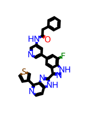 O=C(Cc1ccccc1)Nc1cncc(-c2cc(F)c3[nH]nc(-c4nc5c(-c6ccsc6)nccc5[nH]4)c3c2)c1